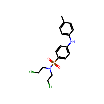 Cc1ccc(Nc2ccc(S(=O)(=O)N(CCCl)CCCl)cc2)cc1